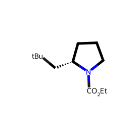 CCOC(=O)N1CCC[C@H]1CC(C)(C)C